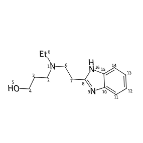 CCN(CCCO)CCc1nc2ccccc2[nH]1